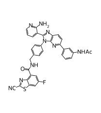 CC(=O)Nc1cccc(-c2ccc3nc(-c4cccnc4N)n(-c4ccc(CNC(=O)c5cc(F)cc6sc(C#N)nc56)cc4)c3n2)c1